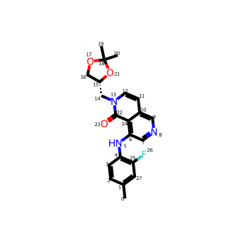 Cc1ccc(Nc2cncc3ccn(C[C@@H]4COC(C)(C)O4)c(=O)c23)c(F)c1